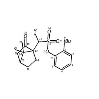 CC(C)(C)c1ccccc1OS(=O)(=O)C(I)C12CCC(CC1=O)C2(C)C